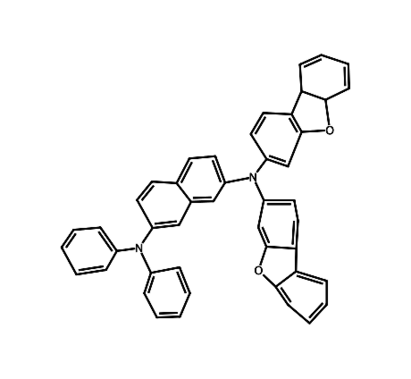 C1=CC2Oc3cc(N(c4ccc5ccc(N(c6ccccc6)c6ccccc6)cc5c4)c4ccc5c(c4)oc4ccccc45)ccc3C2C=C1